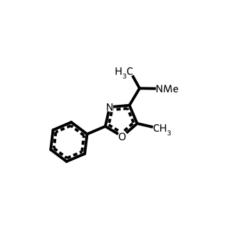 CNC(C)c1nc(-c2ccccc2)oc1C